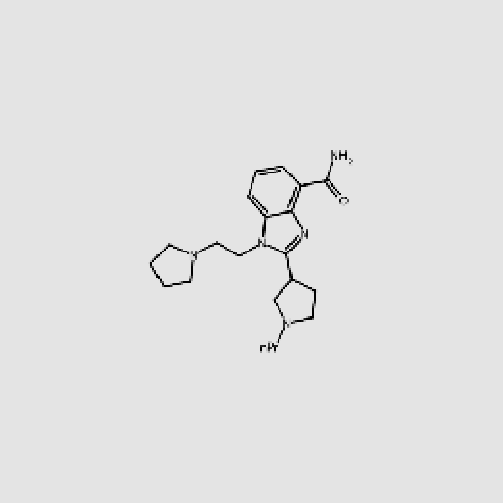 CCCN1CCC(c2nc3c(C(N)=O)cccc3n2CCN2CCCC2)C1